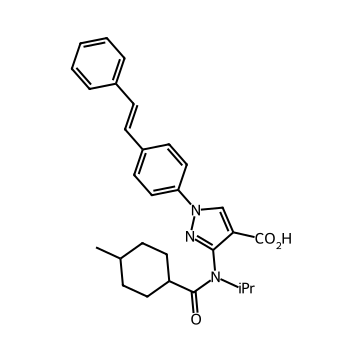 CC1CCC(C(=O)N(c2nn(-c3ccc(C=Cc4ccccc4)cc3)cc2C(=O)O)C(C)C)CC1